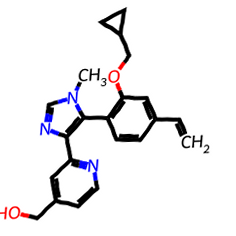 C=Cc1ccc(-c2c(-c3cc(CO)ccn3)ncn2C)c(OCC2CC2)c1